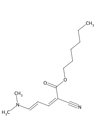 CCCCCCOC(=O)/C(C#N)=C\C=C\N(C)C